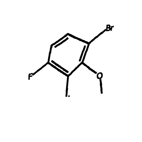 [CH2]c1c(F)ccc(Br)c1OC